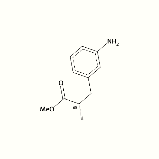 COC(=O)[C@@H](C)Cc1cccc(N)c1